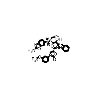 CC(C)CN(C[C@@H](O)[C@H](Cc1ccccc1)NC(=O)[C@@H]1CN(c2cccc(OC(F)(F)F)c2)C(=O)O1)S(=O)(=O)c1ccc2nc(N)oc2c1